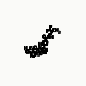 C=C(CCNC(=O)c1ccc(-c2nnn(C)c2NC(=O)O[C@H](C)c2cccnc2Cl)nc1)C(F)F